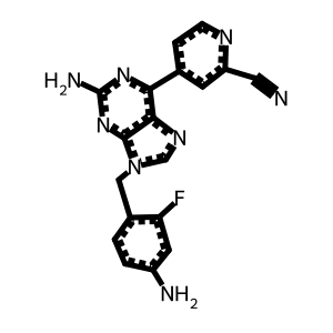 N#Cc1cc(-c2nc(N)nc3c2ncn3Cc2ccc(N)cc2F)ccn1